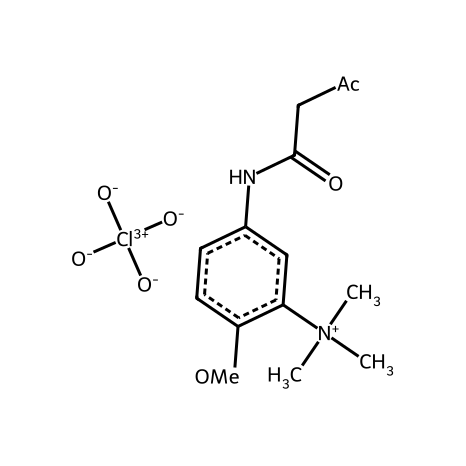 COc1ccc(NC(=O)CC(C)=O)cc1[N+](C)(C)C.[O-][Cl+3]([O-])([O-])[O-]